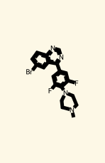 CN1CCN(c2c(F)cc(-c3ncnc4ccc(Br)cc34)cc2F)CC1